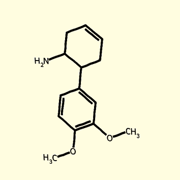 COc1ccc(C2CC=CCC2N)cc1OC